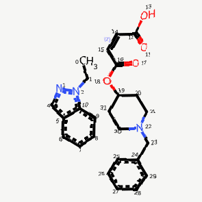 CCn1ncc2ccccc21.O=C(O)/C=C\C(=O)OC1CCN(Cc2ccccc2)CC1